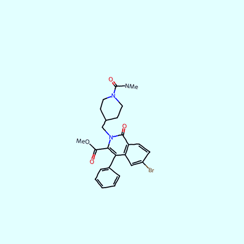 CNC(=O)N1CCC(Cn2c(C(=O)OC)c(-c3ccccc3)c3cc(Br)ccc3c2=O)CC1